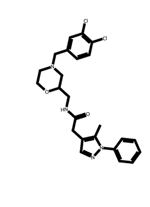 Cc1c(CC(=O)NCC2CN(Cc3ccc(Cl)c(Cl)c3)CCO2)cnn1-c1ccccc1